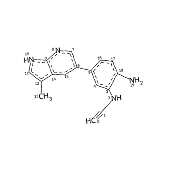 C#CNc1cc(-c2cnc3[nH]cc(C)c3c2)ccc1N